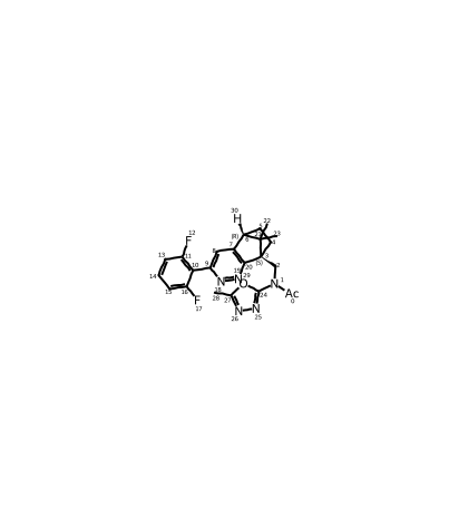 CC(=O)N(C[C@@]12CC[C@@H](c3cc(-c4c(F)cccc4F)nnc31)C2(C)C)c1nnc(C)o1